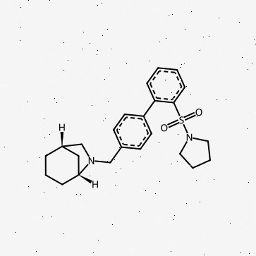 O=S(=O)(c1ccccc1-c1ccc(CN2C[C@H]3CCC[C@@H]2C3)cc1)N1CCCC1